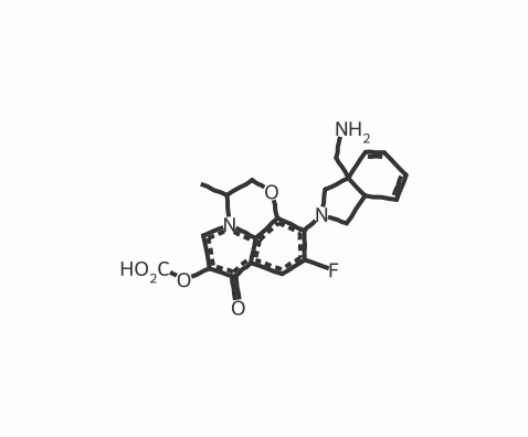 CC1COc2c(N3CC4C=CC=CC4(CN)C3)c(F)cc3c(=O)c(OC(=O)O)cn1c23